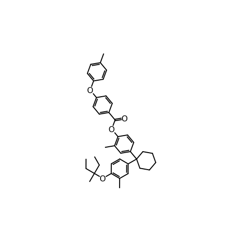 CCC(C)(CC)Oc1ccc(C2(c3ccc(OC(=O)c4ccc(Oc5ccc(C)cc5)cc4)c(C)c3)CCCCC2)cc1C